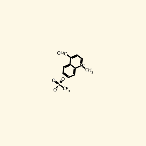 C[n+]1ccc(C=O)c2ccccc21.O=S(=O)([O-])C(F)(F)F